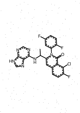 CC(Nc1ncnc2[nH]cnc12)c1cc2ccc(F)c(Cl)c2c(=O)n1-c1cc(F)ccc1F